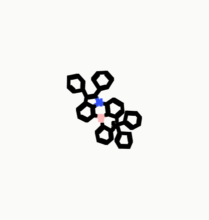 c1ccc(-c2c(-c3ccccc3)n3c4c(cccc24)B2c4ccccc4[Si](c4ccccc4)(c4ccccc4)c4cccc-3c42)cc1